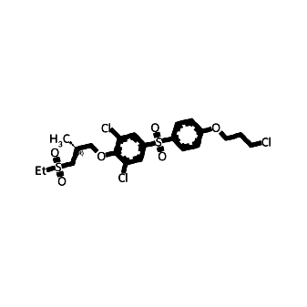 CCS(=O)(=O)C[C@H](C)COc1c(Cl)cc(S(=O)(=O)c2ccc(OCCCCl)cc2)cc1Cl